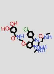 CCNC(=O)C[C@@H]1N=C(c2ccc(Cl)cc2)c2cc(OCCNC(=O)c3ccc(O)c(O)c3)ccc2N2C(C)NNC12